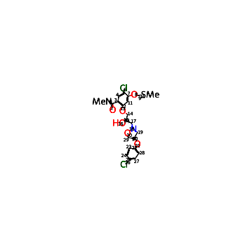 CNC(=O)c1cc(Cl)c(OCSC)cc1OC[C@@H](O)CN1C[C@@H](Oc2ccc(Cl)cc2)CO1